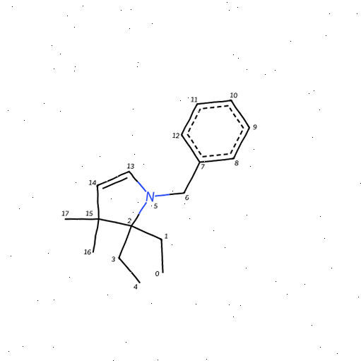 CCC1(CC)N(Cc2ccccc2)C=CC1(C)C